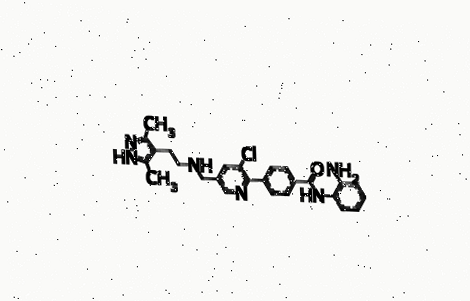 Cc1n[nH]c(C)c1CCNCc1cnc(-c2ccc(C(=O)Nc3ccccc3N)cc2)c(Cl)c1